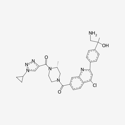 C[C@@H]1CN(C(=O)c2ccc3c(Cl)cc(-c4ccc(C(C)(O)CN)cc4)nc3c2)CCN1C(=O)c1cn(C2CC2)nn1